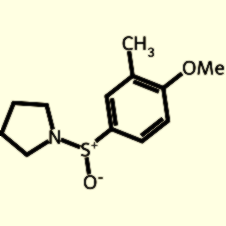 COc1ccc([S+]([O-])N2CCCC2)cc1C